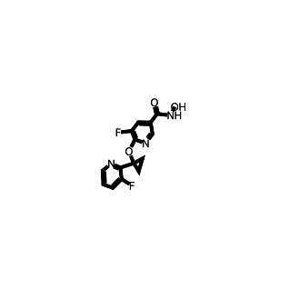 O=C(NO)c1cnc(OC2(c3ncccc3F)CC2)c(F)c1